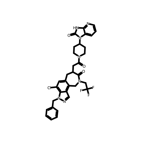 O=C(CC1Cc2cc(Cl)c3c(cnn3Cc3ccccc3)c2CN(CC(F)(F)F)C1=O)N1CCC(n2c(=O)[nH]c3ncccc32)CC1